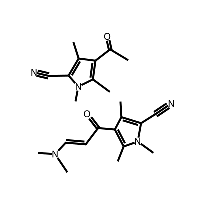 CC(=O)c1c(C)c(C#N)n(C)c1C.Cc1c(C(=O)/C=C/N(C)C)c(C)n(C)c1C#N